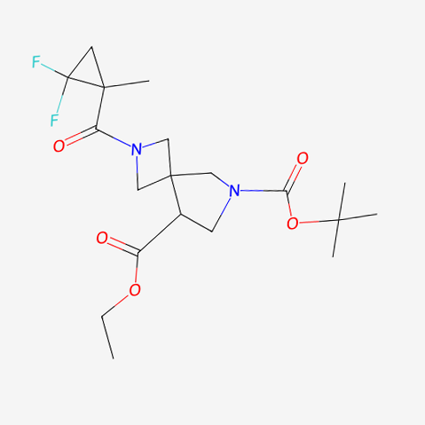 CCOC(=O)C1CN(C(=O)OC(C)(C)C)CC12CN(C(=O)C1(C)CC1(F)F)C2